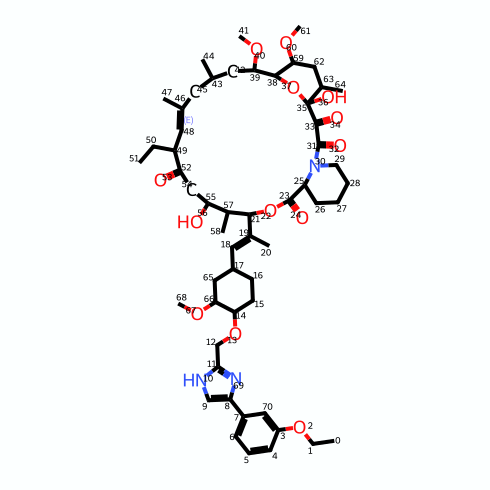 CCOc1cccc(-c2c[nH]c(COC3CCC(C=C(C)C4OC(=O)C5CCCCN5C(=O)C(=O)C5(O)OC(C(OC)CC(C)C/C(C)=C/C(CC)C(=O)CC(O)C4C)C(OC)CC5C)CC3OC)n2)c1